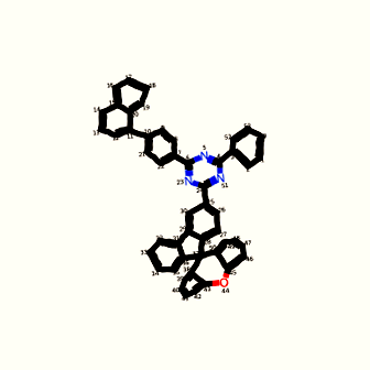 c1ccc(-c2nc(-c3ccc(-c4cccc5ccccc45)cc3)nc(-c3ccc4c(c3)-c3ccccc3C43c4ccccc4Oc4ccccc43)n2)cc1